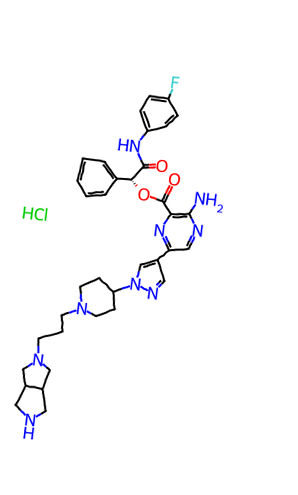 Cl.Nc1ncc(-c2cnn(C3CCN(CCCN4CC5CNCC5C4)CC3)c2)nc1C(=O)O[C@@H](C(=O)Nc1ccc(F)cc1)c1ccccc1